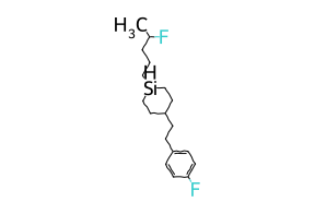 CC(F)CCC[SiH]1CCC(CCc2ccc(F)cc2)CC1